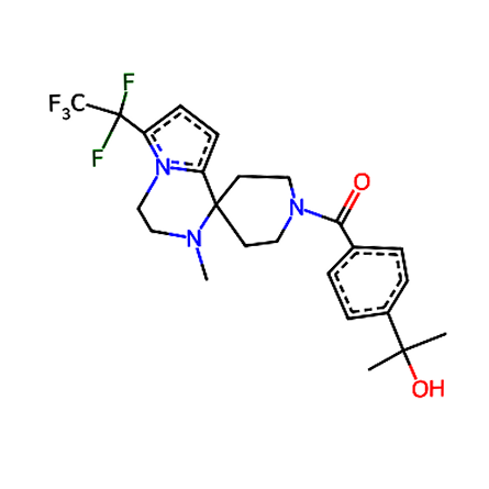 CN1CCn2c(ccc2C(F)(F)C(F)(F)F)C12CCN(C(=O)c1ccc(C(C)(C)O)cc1)CC2